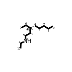 CCCCC[C@@H](CC)CCNCC